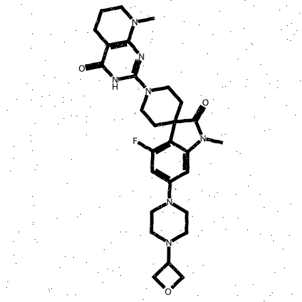 CN1CCCc2c1nc(N1CCC3(CC1)C(=O)N(C)c1cc(N4CCN(C5COC5)CC4)cc(F)c13)[nH]c2=O